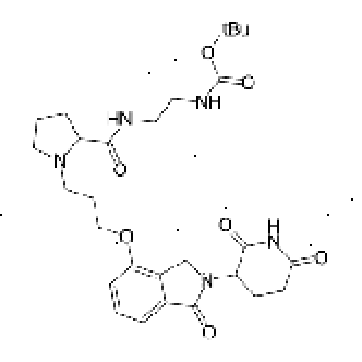 CC(C)(C)OC(=O)NCCNC(=O)C1CCCN1CCCOc1cccc2c1CN(C1CCC(=O)NC1=O)C2=O